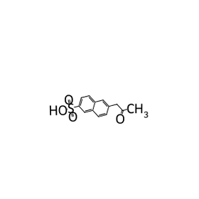 CC(=O)Cc1ccc2cc(S(=O)(=O)O)ccc2c1